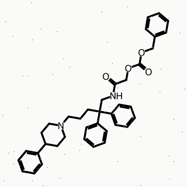 O=C(COC(=O)OCc1ccccc1)NCC(CCCN1CCC(c2ccccc2)CC1)(c1ccccc1)c1ccccc1